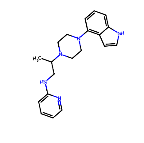 CC(CNc1ccccn1)N1CCN(c2cccc3[nH]ccc23)CC1